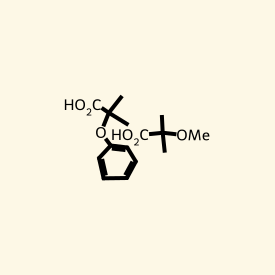 CC(C)(Oc1ccccc1)C(=O)O.COC(C)(C)C(=O)O